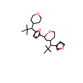 CC(C)(C)C(c1ccoc1)C1CCOC(c2ccc(C(C3CCOCC3)C(C)(C)C)o2)C1